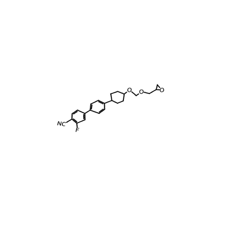 N#Cc1ccc(-c2ccc(C3CCC(OCOCC4CO4)CC3)cc2)cc1F